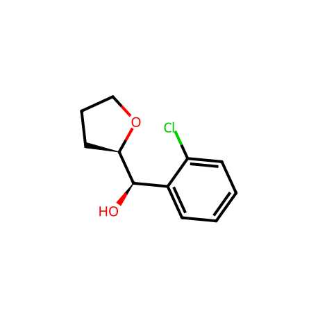 O[C@H](c1ccccc1Cl)[C@H]1CCCO1